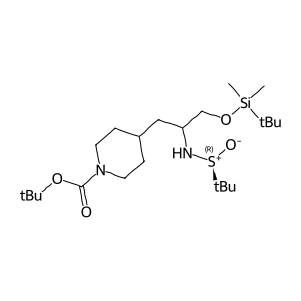 CC(C)(C)OC(=O)N1CCC(CC(CO[Si](C)(C)C(C)(C)C)N[S@@+]([O-])C(C)(C)C)CC1